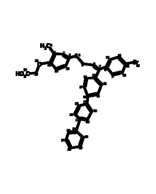 Cc1cc(SCC=C(c2ccc(Br)cc2)c2ccc(-c3ccc(-c4ccccc4)cc3)cc2)ccc1OCC(=O)O